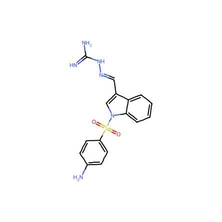 N=C(N)NN=Cc1cn(S(=O)(=O)c2ccc(N)cc2)c2ccccc12